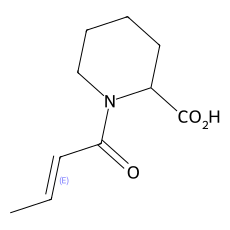 C/C=C/C(=O)N1CCCCC1C(=O)O